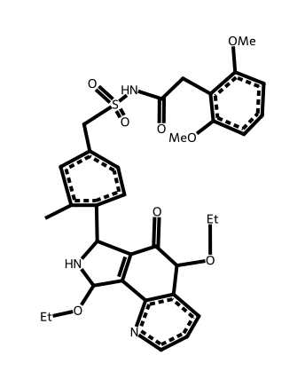 CCOC1NC(c2ccc(CS(=O)(=O)NC(=O)Cc3c(OC)cccc3OC)cc2C)C2=C1c1ncccc1C(OCC)C2=O